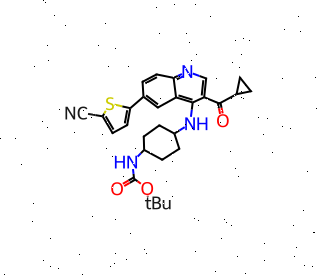 CC(C)(C)OC(=O)NC1CCC(Nc2c(C(=O)C3CC3)cnc3ccc(-c4ccc(C#N)s4)cc23)CC1